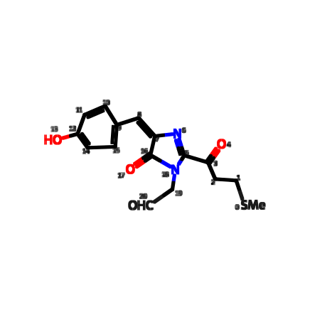 CSCCC(=O)C1=NC(=Cc2ccc(O)cc2)C(=O)N1CC=O